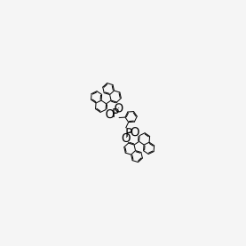 c1ccc(Cp2oc3ccc4ccccc4c3c3c(ccc4ccccc43)o2)c(Cp2oc3ccc4ccccc4c3c3c(ccc4ccccc43)o2)c1